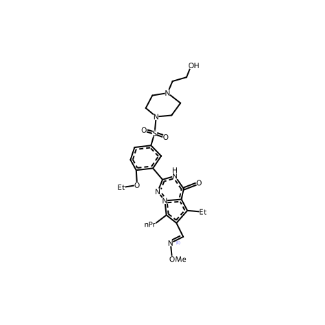 CCCc1c(/C=N/OC)c(CC)c2c(=O)[nH]c(-c3cc(S(=O)(=O)N4CCN(CCO)CC4)ccc3OCC)nn12